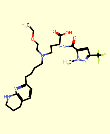 CCOCCN(CCCCc1ccc2c(n1)NCCC2)CCC(NC(=O)c1cc(C(F)(F)F)nn1C)C(=O)O